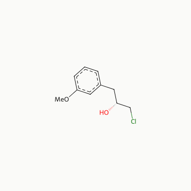 COc1cccc(C[C@@H](O)CCl)c1